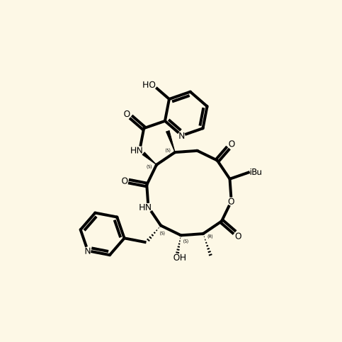 CCC(C)C1OC(=O)[C@H](C)[C@H](O)[C@H](Cc2cccnc2)NC(=O)[C@@H](NC(=O)c2ncccc2O)[C@@H](C)CC1=O